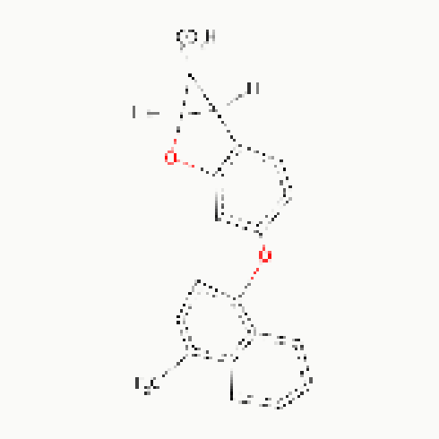 O=C(O)[C@H]1[C@@H]2Oc3cc(Oc4ccc(C(F)(F)F)c5ccccc45)ccc3[C@@H]21